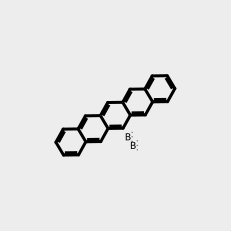 [B].[B].c1ccc2cc3cc4cc5ccccc5cc4cc3cc2c1